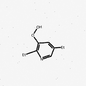 CCc1cnc(CC)c(OO)c1